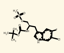 CC(C)(C)OC(=O)N[C@@H](COS(C)(=O)=O)Cc1c[nH]c2cc(Cl)c(F)cc12